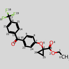 CCOC(=O)C1(Oc2ccc(C(=O)c3ccc(C(F)(F)F)cc3)cc2)CC1